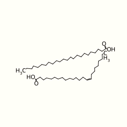 CCCCCCCC/C=C\CCCCCCCCCCCCCC(=O)O.CCCCCCCCCCCCCCCCCCCCCCCC(=O)O